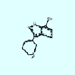 Cc1cccc2c(C3=CCCNC3)n[nH]c12